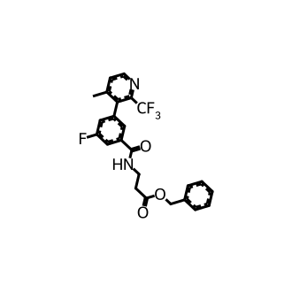 Cc1ccnc(C(F)(F)F)c1-c1cc(F)cc(C(=O)NCCC(=O)OCc2ccccc2)c1